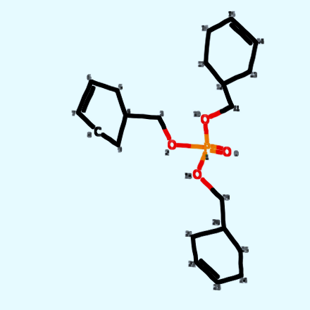 O=P(OCC1CC=CCC1)(OCC1CC=CCC1)OCC1CC=CCC1